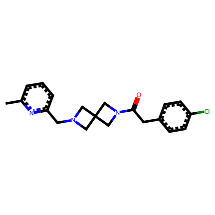 Cc1cccc(CN2CC3(C2)CN(C(=O)Cc2ccc(Cl)cc2)C3)n1